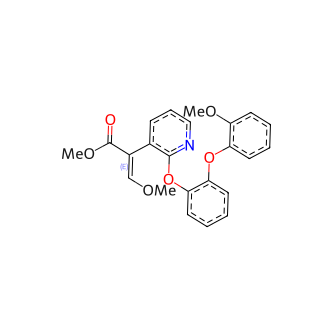 CO/C=C(/C(=O)OC)c1cccnc1Oc1ccccc1Oc1ccccc1OC